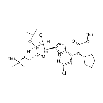 CC(C)(C)OC(=O)N(c1nc(Cl)nn2c([C@H]3O[C@H](CO[Si](C)(C)C(C)(C)C)[C@H]4OC(C)(C)O[C@H]43)ccc12)C1CCCC1